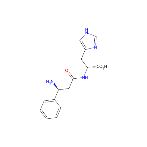 N[C@@H](CC(=O)N[C@H](Cc1c[nH]cn1)C(=O)O)c1ccccc1